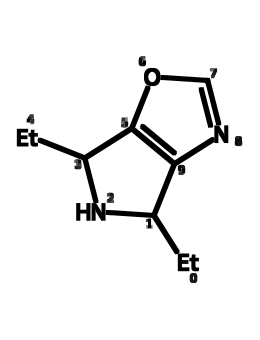 CCC1NC(CC)c2ocnc21